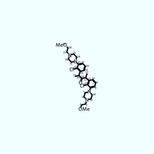 COCCN1CCN(c2cccc(C(C)C(=O)C(C)c3cccc(N4CCN(CCOC)CC4)c3Cl)c2Cl)CC1